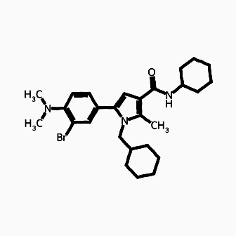 Cc1c(C(=O)NC2CCCCC2)cc(-c2ccc(N(C)C)c(Br)c2)n1CC1CCCCC1